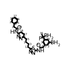 Bc1cc(CC(=O)Nc2nnc(CCCCc3ccc(NC(=O)Cc4ccccc4)nn3)s2)cc(C(C)(F)P)c1